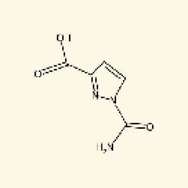 NC(=O)n1ccc(C(=O)O)n1